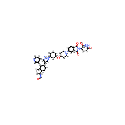 O=C1CCC(N2C(=O)c3ccc(N4CCC(OC5CCCC(n6cc(-c7ccc8c(c7)CC/C8=N\O)c(-c7ccncc7)n6)C5)CC4)cc3C2=O)C(=O)N1